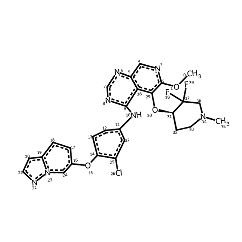 COc1ncc2ncnc(Nc3ccc(Oc4ccc5ccnn5c4)c(Cl)c3)c2c1O[C@@H]1CCN(C)CC1(F)F